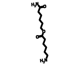 NCCCCCC(=O)OCCCCCC(N)=O